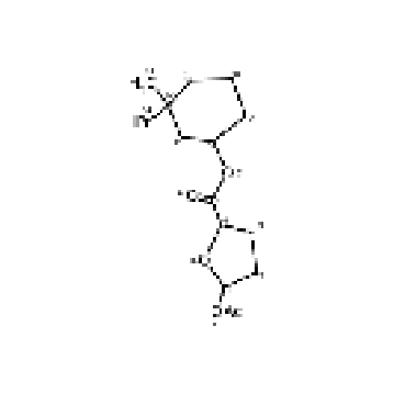 CC(=O)OC1CSC(C(=O)OC2CCCC(C)(C(C)C)C2)O1